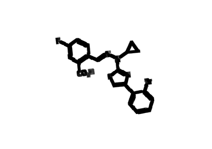 O=C(O)c1cc(F)ccc1/C=N/N(c1nc(-c2ccccc2Br)cs1)C1CC1